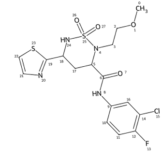 COCCN1C(C(=O)Nc2ccc(F)c(Cl)c2)CC(c2nccs2)NS1(=O)=O